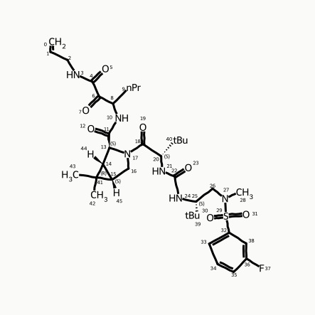 C=CCNC(=O)C(=O)C(CCC)NC(=O)[C@@H]1[C@@H]2[C@H](CN1C(=O)[C@@H](NC(=O)N[C@H](CN(C)S(=O)(=O)c1cccc(F)c1)C(C)(C)C)C(C)(C)C)C2(C)C